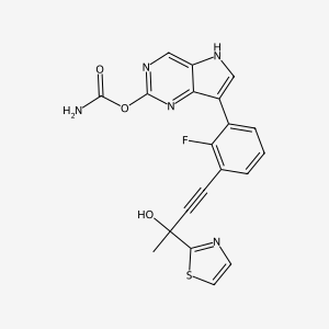 CC(O)(C#Cc1cccc(-c2c[nH]c3cnc(OC(N)=O)nc23)c1F)c1nccs1